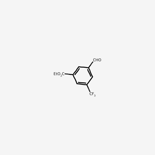 CCOC(=O)c1cc(C=O)cc(C(F)(F)F)c1